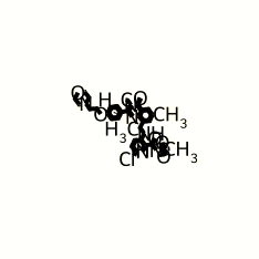 Cc1cc([C@@H](C)Nc2ccc(Cl)nc2C(=O)NS(C)(=O)=O)c2nc(-c3ccc(OCCN4CCOCC4)cc3)n(C)c(=O)c2c1